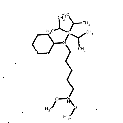 CO[SiH](CCCCCN(C1CCCCC1)[Si](C(C)C)(C(C)C)C(C)C)OC